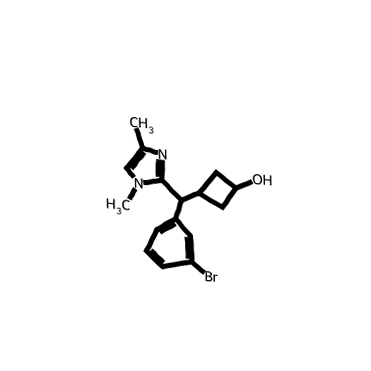 Cc1cn(C)c(C(c2cccc(Br)c2)C2CC(O)C2)n1